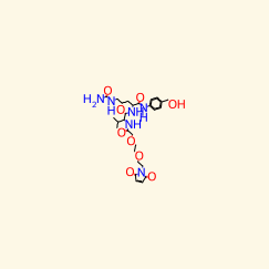 CC(C)C(NC(=O)COCCOCCN1C(=O)C=CC1=O)C(=O)NC(CCCNC(N)=O)C(=O)Nc1ccc(CO)cc1